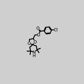 CC1(C)CC2(CC(C)(C)N1)OCC(COC(=O)c1ccc(Cl)cc1)O2